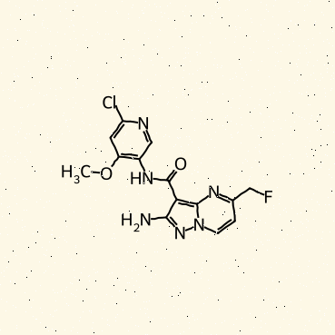 COc1cc(Cl)ncc1NC(=O)c1c(N)nn2ccc(CF)nc12